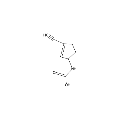 C#CC1=CC(NC(=O)O)CC1